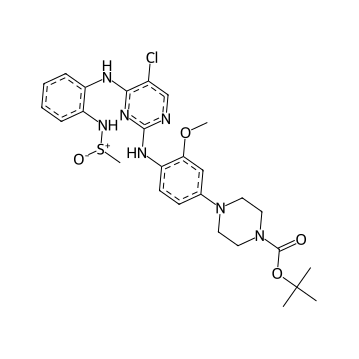 COc1cc(N2CCN(C(=O)OC(C)(C)C)CC2)ccc1Nc1ncc(Cl)c(Nc2ccccc2N[S+](C)[O-])n1